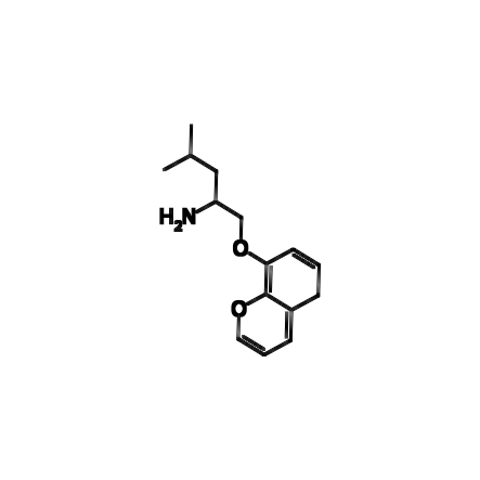 CC(C)CC(N)COC1=C2OC=CC=C2CC=C1